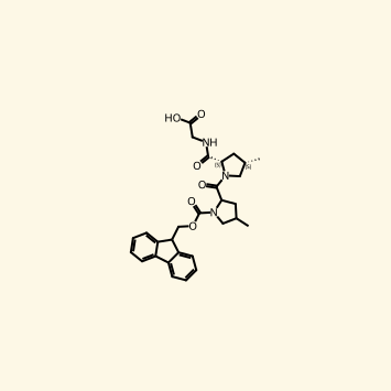 CC1CC(C(=O)N2C[C@@H](C)C[C@H]2C(=O)NCC(=O)O)N(C(=O)OCC2c3ccccc3-c3ccccc32)C1